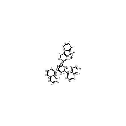 FC1(F)C2=CC=CCC2c2ccc(-c3nc(-c4cccc5ccccc45)cc(-c4cccc5ccccc45)n3)cc21